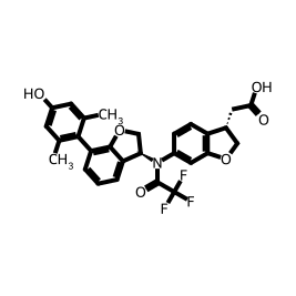 Cc1cc(O)cc(C)c1-c1cccc2c1OC[C@H]2N(C(=O)C(F)(F)F)c1ccc2c(c1)OC[C@H]2CC(=O)O